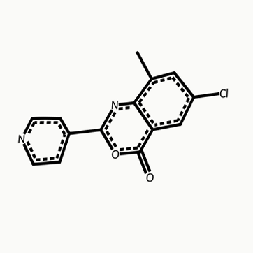 Cc1cc(Cl)cc2c(=O)oc(-c3ccncc3)nc12